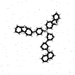 c1cc(-c2cccc(N(c3ccc(-c4ccc5c(c4)sc4ccccc45)cc3)c3ccc4c(c3)oc3ccccc34)c2)cc(-c2cccc3ccccc23)c1